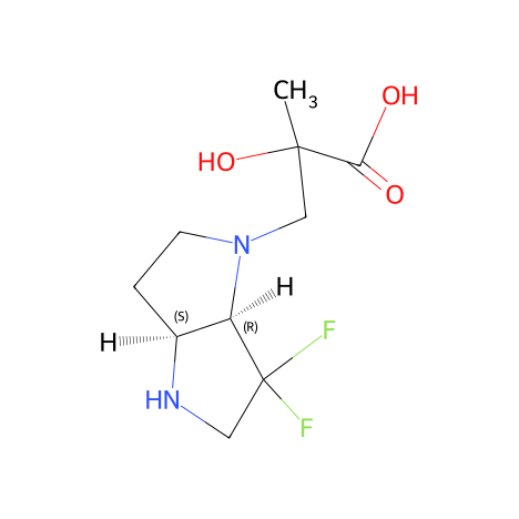 CC(O)(CN1CC[C@@H]2NCC(F)(F)[C@@H]21)C(=O)O